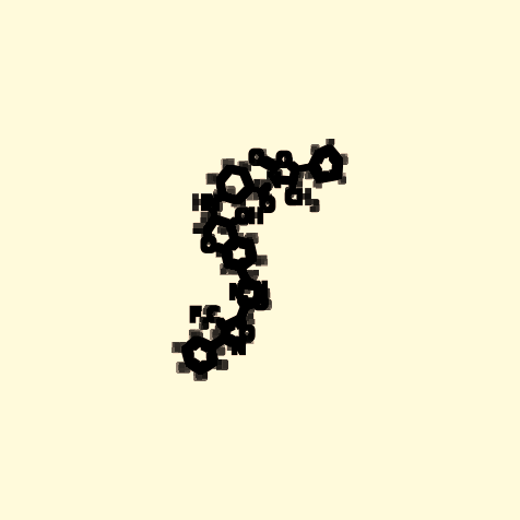 C[C@@H]1[C@H](c2ccccc2)OC(=O)N1C(=O)[C@H]1CCC[C@H](N[C@@H]2COc3cc(-c4noc(-c5onc(-c6ccccc6)c5C(F)(F)F)n4)ccc3[C@@H]2O)C1